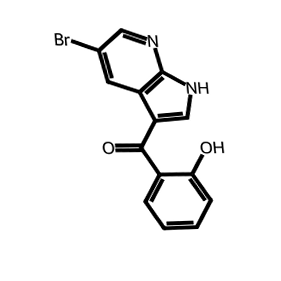 O=C(c1ccccc1O)c1c[nH]c2ncc(Br)cc12